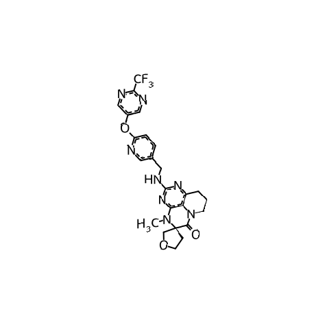 CN1c2nc(NCc3ccc(Oc4cnc(C(F)(F)F)nc4)nc3)nc3c2N(CCC3)C(=O)[C@@]12CCOC2